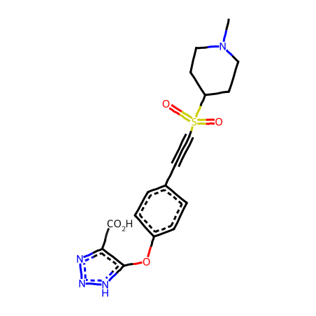 CN1CCC(S(=O)(=O)C#Cc2ccc(Oc3[nH]nnc3C(=O)O)cc2)CC1